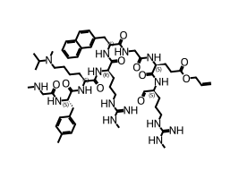 C=CCOC(=O)CC[C@H](NC(=O)CNC(=O)[C@H](Cc1ccc2ccccc2c1)NC(=O)[C@@H](CCCNC(=N)NC)NC(=O)[C@H](CCCCN(C)C(C)C)NC(=O)[C@H](Cc1ccc(C)cc1)NC(=O)CNC)C(=O)N[C@H](C=O)CCCNC(=N)NC